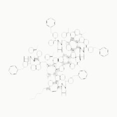 CCCCC[C@@H]1C=C[C@@H](NC(=O)OCc2ccccc2)[C@@H](O[C@H]2[C@H](O[C@@H]3O[C@H](CC)[C@@H](O[C@H]4O[C@@H](CNC(=O)OCc5ccccc5)[C@@H](OC(C)=O)[C@H](OC(C)=O)[C@H]4NC(=O)OCc4ccccc4)[C@H]3OC(C)=O)[C@@H](OC(C)=O)[C@H](CC(=O)[C@H](NC(=O)OCc3ccccc3)OC(C)=O)C[C@@H]2C)O1